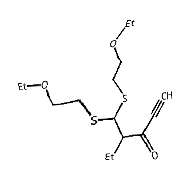 C#CC(=O)C(CC)C(SCCOCC)SCCOCC